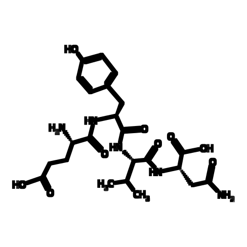 CC(C)[C@H](NC(=O)[C@H](Cc1ccc(O)cc1)NC(=O)[C@@H](N)CCC(=O)O)C(=O)N[C@@H](CC(N)=O)C(=O)O